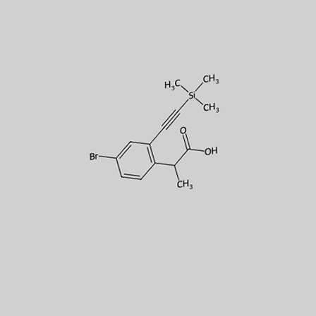 CC(C(=O)O)c1ccc(Br)cc1C#C[Si](C)(C)C